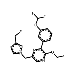 CCOc1ncc(Cn2cnc(CF)n2)nc1-c1cccc(OC(F)F)c1